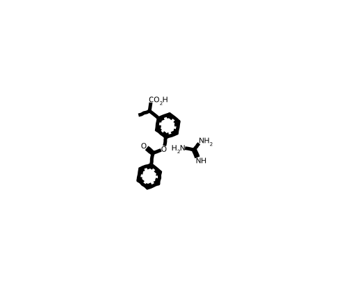 CC(C(=O)O)c1cccc(OC(=O)c2ccccc2)c1.N=C(N)N